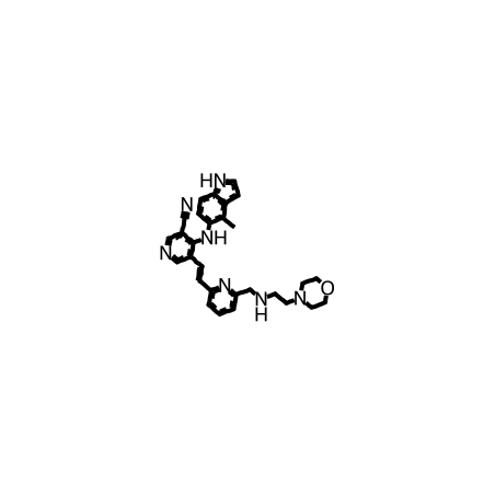 Cc1c(Nc2c(C#N)cncc2C=Cc2cccc(CNCCN3CCOCC3)n2)ccc2[nH]ccc12